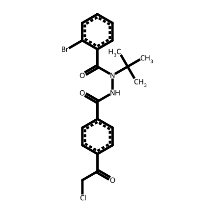 CC(C)(C)N(NC(=O)c1ccc(C(=O)CCl)cc1)C(=O)c1ccccc1Br